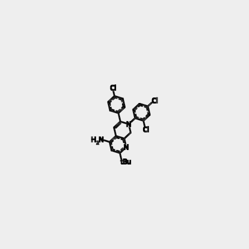 CC(C)(C)c1cc(N)c2c(n1)CN(c1ccc(Cl)cc1Cl)C(c1ccc(Cl)cc1)=C2